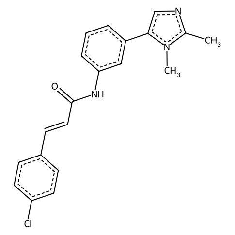 Cc1ncc(-c2cccc(NC(=O)/C=C/c3ccc(Cl)cc3)c2)n1C